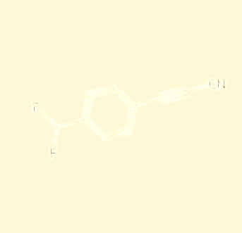 N#CC#Cc1ccc(C(F)F)cc1